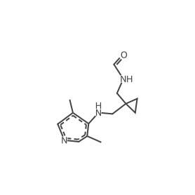 Cc1cncc(C)c1NCC1(CNC=O)CC1